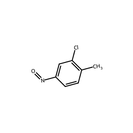 Cc1ccc(N=O)cc1Cl